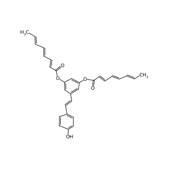 CC=CC=CC=CC(=O)Oc1cc(C=Cc2ccc(O)cc2)cc(OC(=O)C=CC=CC=CC)c1